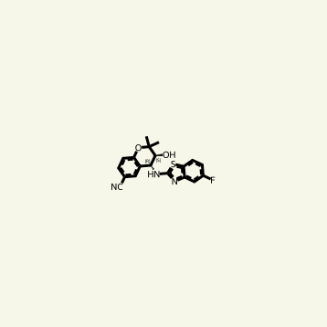 CC1(C)Oc2ccc(C#N)cc2[C@@H](Nc2nc3cc(F)ccc3s2)[C@@H]1O